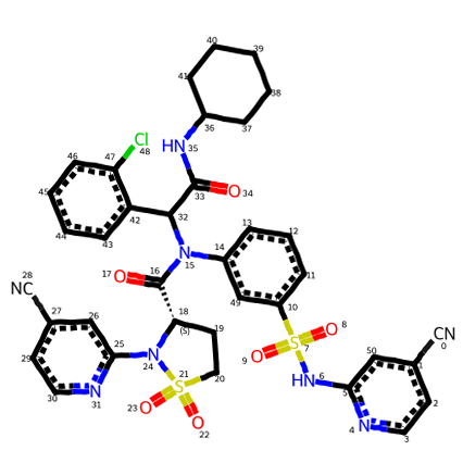 N#Cc1ccnc(NS(=O)(=O)c2cccc(N(C(=O)[C@@H]3CCS(=O)(=O)N3c3cc(C#N)ccn3)C(C(=O)NC3CCCCC3)c3ccccc3Cl)c2)c1